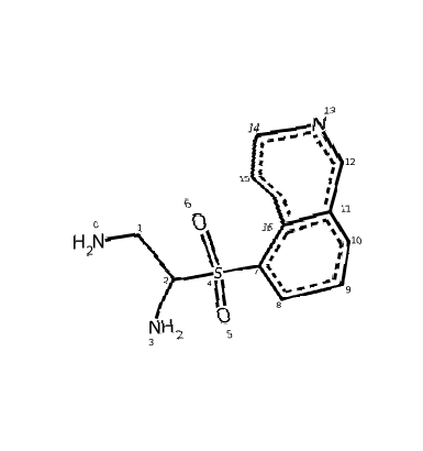 NCC(N)S(=O)(=O)c1cccc2cnccc12